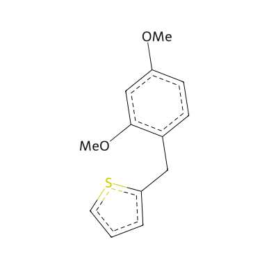 COc1ccc(Cc2cccs2)c(OC)c1